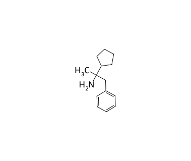 CC(N)(Cc1ccccc1)C1CCCC1